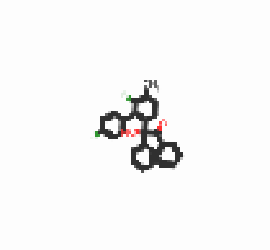 Cc1ccc(C(O)(C(=O)c2ccccc2)c2ccccc2)c(-c2ccc(F)cc2)c1F